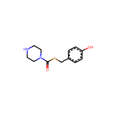 O=C(SCc1ccc(O)cc1)N1CCNCC1